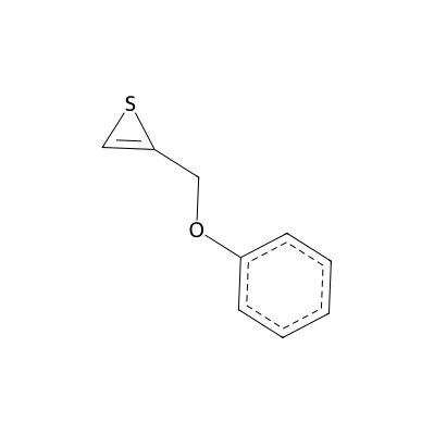 C1=C(COc2ccccc2)S1